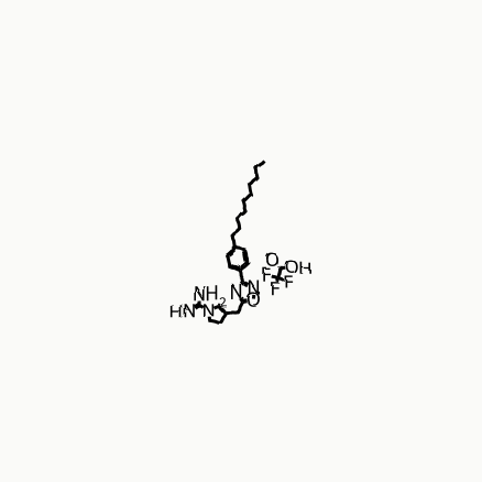 CCCCCCCCCCc1ccc(-c2noc(CC3CCN(C(=N)N)C3)n2)cc1.O=C(O)C(F)(F)F